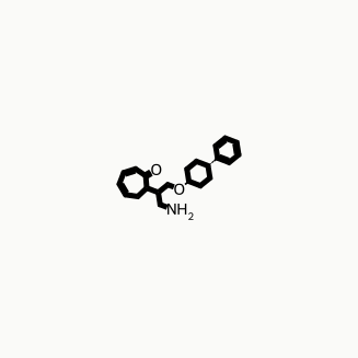 NCC(CO[C@H]1CC[C@@H](c2ccccc2)CC1)C1CC=CC=CC1=O